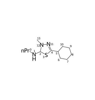 CCCNC1SC(C2CCCCC2)=NN1C